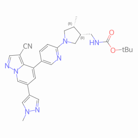 C[C@H]1CN(c2ccc(-c3cc(-c4cnn(C)c4)cn4ncc(C#N)c34)cn2)C[C@H]1CNC(=O)OC(C)(C)C